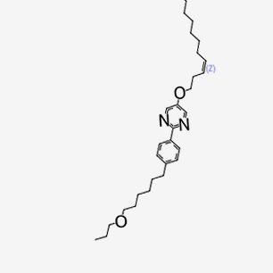 CCCCCCC/C=C\CCOc1cnc(-c2ccc(CCCCCCOCCC)cc2)nc1